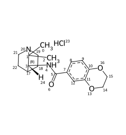 CC1(C)[C@H](NC(=O)c2ccc3c(c2)OCCO3)C2CCN1CC2.Cl